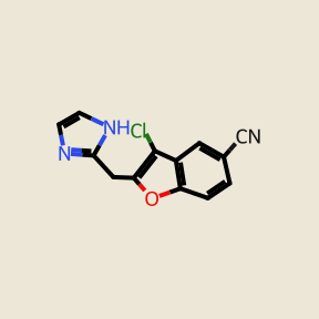 N#Cc1ccc2oc(Cc3ncc[nH]3)c(Cl)c2c1